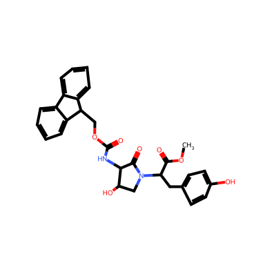 COC(=O)C(Cc1ccc(O)cc1)N1CC(O)C(NC(=O)OCC2c3ccccc3-c3ccccc32)C1=O